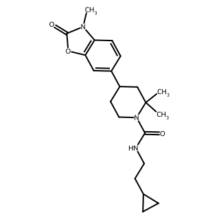 Cn1c(=O)oc2cc(C3CCN(C(=O)NCCC4CC4)C(C)(C)C3)ccc21